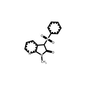 CN1C(=O)C(S(=O)(=O)c2ccccc2)c2cccnc21